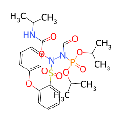 CC(C)NC(=O)ON(N(C=O)P(=O)(OC(C)C)OC(C)C)S(=O)(=O)c1ccccc1Oc1ccccc1